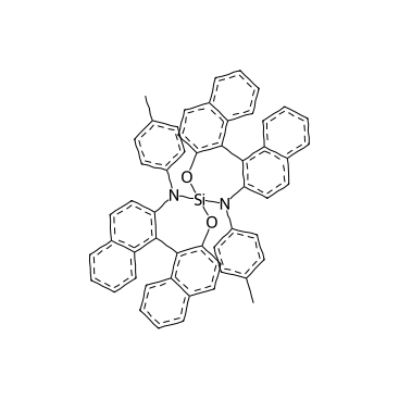 Cc1ccc(N2c3ccc4ccccc4c3-c3c(ccc4ccccc34)O[Si]23Oc2ccc4ccccc4c2-c2c(ccc4ccccc24)N3c2ccc(C)cc2)cc1